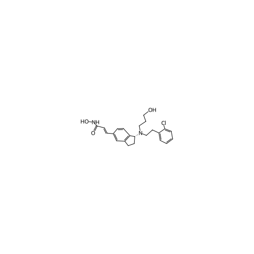 O=C(/C=C/c1ccc2c(c1)CC[C@H]2N(CCCO)CCc1ccccc1Cl)NO